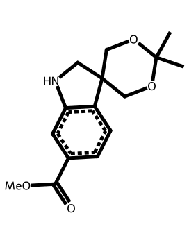 COC(=O)c1ccc2c(c1)NCC21COC(C)(C)OC1